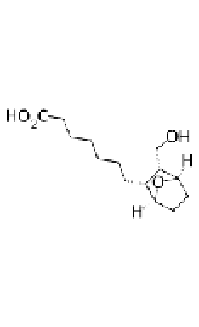 O=C(O)CCCCCC[C@@H]1[C@H](CO)[C@H]2CC[C@@H]1O2